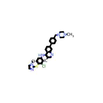 CN1CCN(Cc2ccc(-c3ccc4c(Nc5ccc(Sc6nccn6C)c(Cl)c5)c(C#N)cnc4c3)cc2)CC1